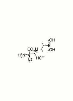 CC[C@](N)(CCCCB(O)O)C(=O)O.Cl